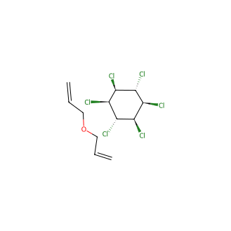 C=CCOCC=C.Cl[C@H]1[C@H](Cl)[C@@H](Cl)[C@@H](Cl)[C@H](Cl)[C@H]1Cl